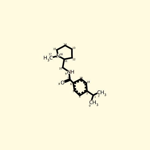 CC(C)c1ccc(C(=O)NCC2CCCCN2C)cc1